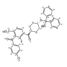 CC(C)(C)[Si](O[C@H]1CC[C@H](C(=O)c2ccc(C(=O)O)c(C(=O)c3ccc(Cl)cc3)c2F)CC1)(c1ccccc1)c1ccccc1